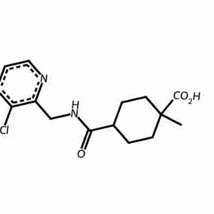 CC1(C(=O)O)CCC(C(=O)NCc2nccnc2Cl)CC1